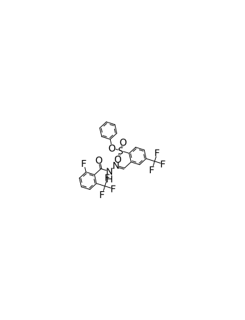 O=C(NN=Cc1cc(C(F)(F)F)ccc1S(=O)(=O)Oc1ccccc1)c1c(F)cccc1C(F)(F)F